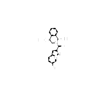 C[C@H]1CN(C(=O)c2cc3ccc(Br)cn3n2)[C@@H](C)c2ccccc21